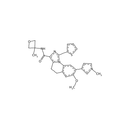 COc1cc2c(cc1-c1ccn(C)c1)-n1c(-c3cccs3)nc(C(=O)NC3(C)COC3)c1CC2